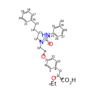 CCOC(Cc1ccc(OCCN(CCCCc2ccccc2)C(=O)Nc2cccc(C)c2)cc1)C(=O)O